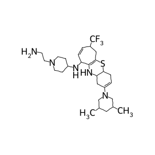 CC1CC(C)CN(C2=CCC3SC4=C(NC3C2)C(NC2CCN(CCN)CC2)C=CC(C(F)(F)F)C4)C1